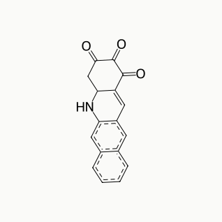 O=C1CC2Nc3cc4ccccc4cc3C=C2C(=O)C1=O